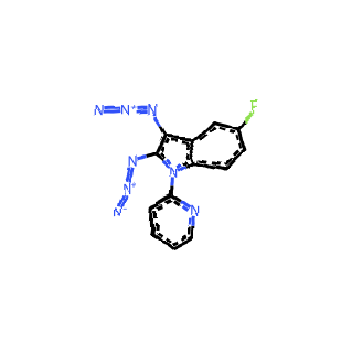 [N-]=[N+]=Nc1c(N=[N+]=[N-])n(-c2ccccn2)c2ccc(F)cc12